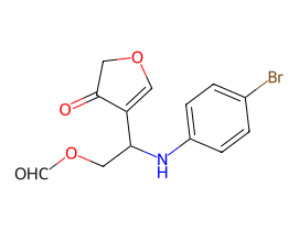 O=COCC(Nc1ccc(Br)cc1)C1=COCC1=O